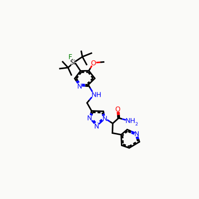 COc1cc(NCc2cn(C(Cc3cccnc3)C(N)=O)nn2)ncc1[Si](F)(C(C)(C)C)C(C)(C)C